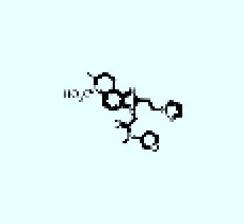 C[C@H]1CCc2c(ccc3c2nc(CCn2cccn2)n3CC(=O)N(C)[C@H]2CCOC2)N1C(=O)O